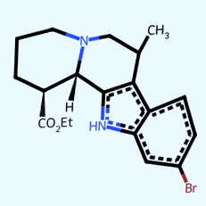 CCOC(=O)[C@H]1CCCN2CC(C)c3c([nH]c4cc(Br)ccc34)[C@H]12